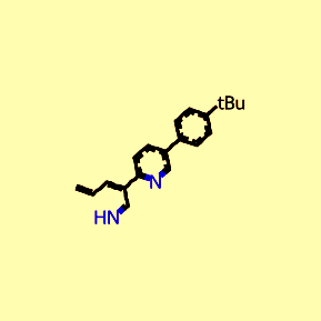 C=C/C=C(\C=N)c1ccc(-c2ccc(C(C)(C)C)cc2)cn1